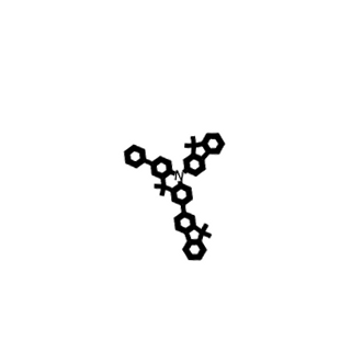 CC1(C)c2ccccc2-c2ccc(-c3ccc4c(c3)C(C)(C)c3cc(-c5ccccc5)ccc3N4c3ccc4c(c3)C(C)(C)c3ccccc3-4)cc21